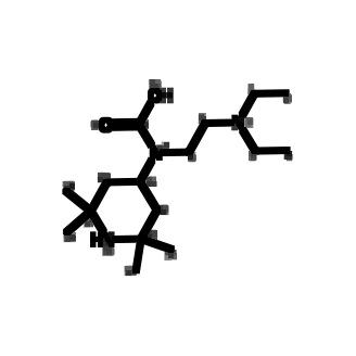 CCN(CC)CCN(C(=O)O)C1CC(C)(C)NC(C)(C)C1